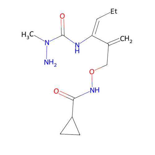 C=C(CONC(=O)C1CC1)/C(=C\CC)NC(=O)N(C)N